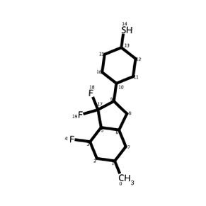 CC1CC(F)C2C(C1)CC(C1CCC(S)CC1)C2(F)F